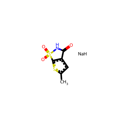 Cc1cc2c(s1)S(=O)(=O)NC2=O.[NaH]